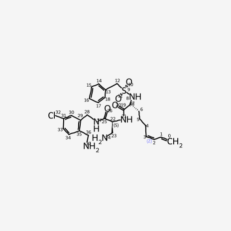 C=C/C=C\CCC[C@@H](NS(=O)(=O)Cc1ccccc1)C(=O)N[C@@H](CN)C(=O)NCc1cc(Cl)ccc1CN